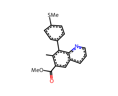 COC(=O)c1cc2cccnc2c(-c2ccc(SC)cc2)c1C